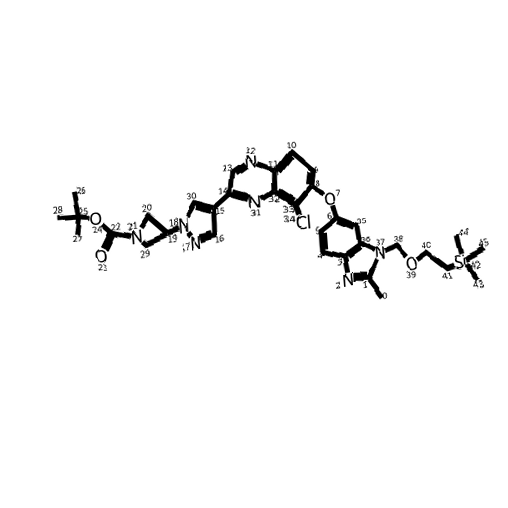 Cc1nc2ccc(Oc3ccc4ncc(-c5cnn(C6CN(C(=O)OC(C)(C)C)C6)c5)nc4c3Cl)cc2n1COCC[Si](C)(C)C